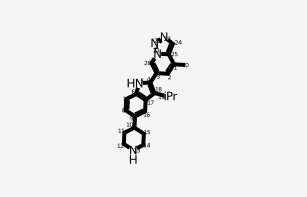 Cc1cc(-c2[nH]c3ccc(C4CCNCC4)cc3c2C(C)C)cn2nncc12